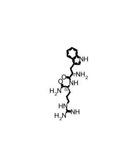 N=C(N)NCCC[C@H](NC(=O)[C@@H](N)Cc1c[nH]c2ccccc12)C(N)=O